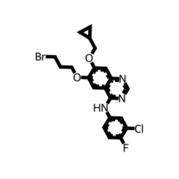 Fc1ccc(Nc2ncnc3cc(OCC4CC4)c(OCCCBr)cc23)cc1Cl